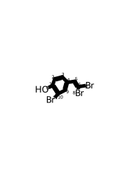 Oc1ccc(C=C(Br)Br)cc1Br